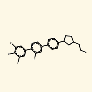 CCCC1CCC(c2ccc(-c3ccc(-c4cc(F)c(F)c(F)c4)c(F)c3)cc2)C1